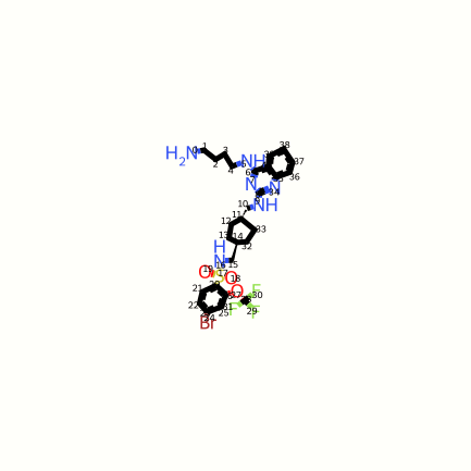 NCCCCNc1nc(NC[C@H]2CC[C@H](CNS(=O)(=O)c3ccc(Br)cc3OC(F)(F)F)CC2)nc2ccccc12